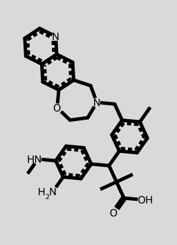 CNc1ccc(C(c2ccc(C)c(CN3CCOc4cc5cccnc5cc4C3)c2)C(C)(C)C(=O)O)cc1N